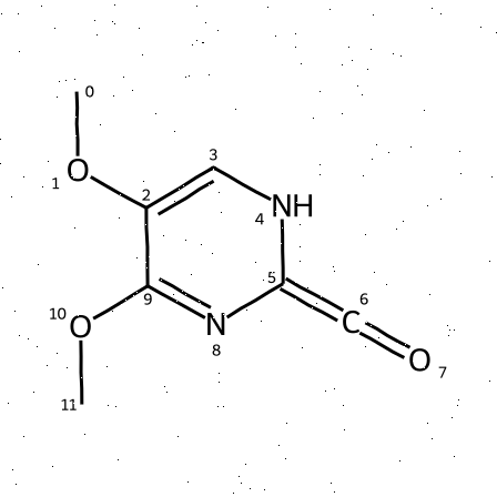 COC1=CNC(=C=O)N=C1OC